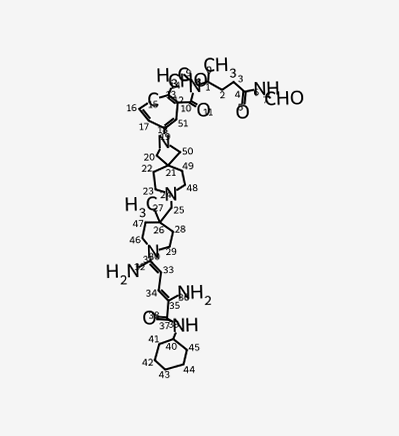 CC(CCC(=O)NC=O)N(C)C(=O)C1=C(C=O)CC=CC(N2CC3(CCN(CC4(C)CCN(/C(N)=C/C=C(\N)C(=O)NC5CCCCC5)CC4)CC3)C2)=C1